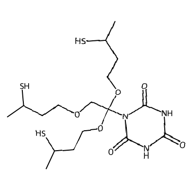 CC(S)CCOCC(OCCC(C)S)(OCCC(C)S)n1c(=O)[nH]c(=O)[nH]c1=O